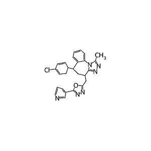 Cc1nnc2n1-c1ccccc1C(C1C=CC(Cl)=CC1)CC2Cc1nnc(-c2cccnc2)o1